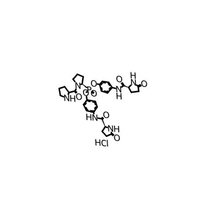 Cl.O=C1CC[C@@H](C(=O)Nc2ccc(OP(=O)(Oc3ccc(NC(=O)[C@@H]4CCC(=O)N4)cc3)[C@@H]3CCCN3C(=O)C3CCCN3)cc2)N1